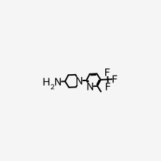 Cc1nc(N2CCC(N)CC2)ccc1C(F)(F)F